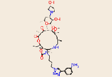 CC[C@H]1OC(=O)[C@H](C)C(=O)[C@H](C)[C@@H](O[C@@H]2O[C@H](C)CC(N3CC[C@@H](O)C3)C2O)[C@](C)(OC)C[C@@H](C)CN[C@H](C)[C@H]2N(CCCCn3cc(-c4cccc(N)c4)nn3)C(=O)O[C@]12C